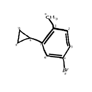 Cc1ccc(Br)cc1C1CC1